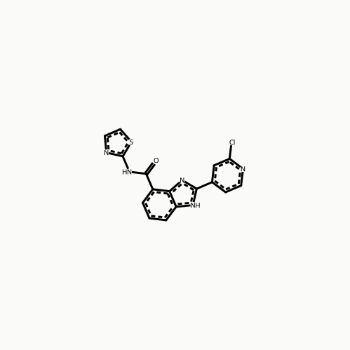 O=C(Nc1nccs1)c1cccc2[nH]c(-c3ccnc(Cl)c3)nc12